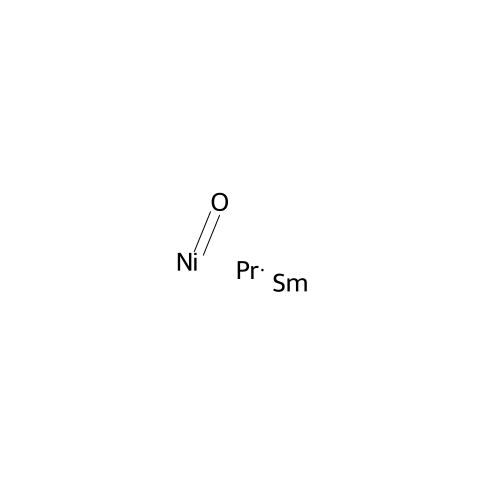 [O]=[Ni].[Pr].[Sm]